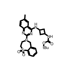 Cc1ccc2nc(N3CCS(=O)(=O)c4ccccc4C3)nc(NC3CC(NC(=O)OC(C)(C)C)C3)c2c1